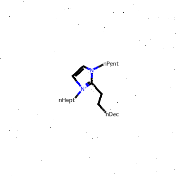 CCCCCCCCCCCCc1n(CCCCC)cc[n+]1CCCCCCC